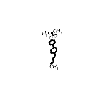 C=C(C)C(=O)Oc1ccc(C2CCC(CCCCC)CC2)cc1